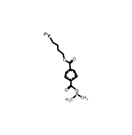 CC(C)CCCCCOC(=O)c1ccc(C(=O)ON(C)C)cc1